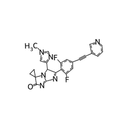 Cn1cnc(C2C(c3c(F)cc(C#Cc4cccnc4)cc3F)=NC3=NC(=O)C4(CC4)N32)c1